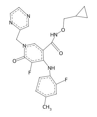 Cc1ccc(Nc2c(C(=O)NOCC3CC3)cn(Cc3cnccn3)c(=O)c2F)c(F)c1